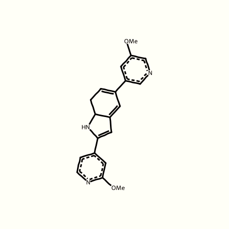 COc1cncc(C2=CCC3NC(c4ccnc(OC)c4)=CC3=C2)c1